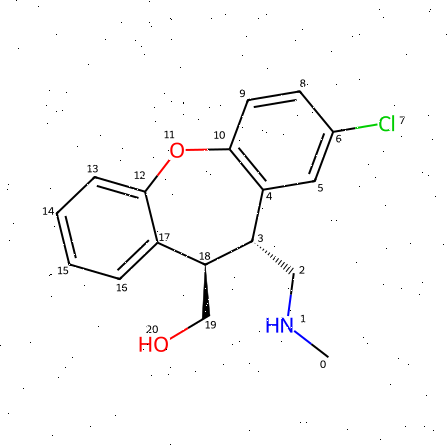 CNC[C@H]1c2cc(Cl)ccc2Oc2ccccc2[C@@H]1CO